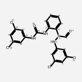 O=CN(Nc1cc(Cl)cc(Cl)c1)c1ccccc1NC(=O)Nc1cc(Cl)cc(Cl)c1